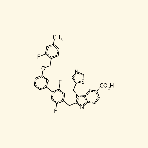 Cc1ccc(COc2cccc(-c3cc(F)c(Cc4nc5ccc(C(=O)O)cc5n4Cc4cncs4)cc3F)n2)c(F)c1